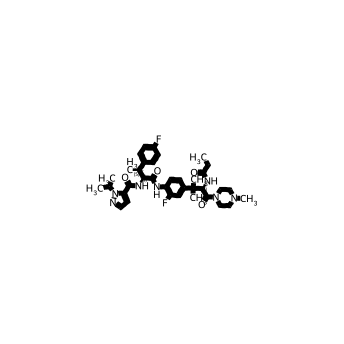 CCC(=O)N[C@@H](C(=O)N1CCN(C)CC1)C(C)(C)c1ccc(NC(=O)[C@@H](NC(=O)c2ccnn2C(C)C)[C@@H](C)c2ccc(F)cc2)c(F)c1